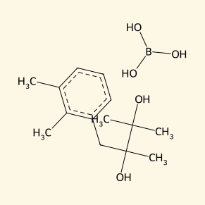 Cc1cccc(CC(C)(O)C(C)(C)O)c1C.OB(O)O